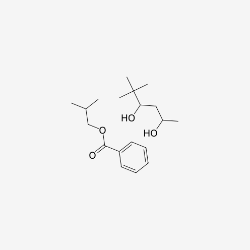 CC(C)COC(=O)c1ccccc1.CC(O)CC(O)C(C)(C)C